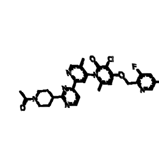 CC(=O)N1CCC(c2nccc(-c3cc(-n4c(C)cc(OCc5ncc(F)cc5F)c(Cl)c4=O)c(C)cn3)n2)CC1